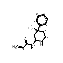 C=CC(=O)NC1CC(C)(c2cc[c]cc2)CCN1